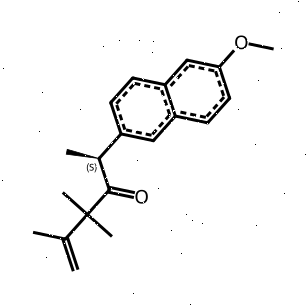 C=C(C)C(C)(C)C(=O)[C@@H](C)c1ccc2cc(OC)ccc2c1